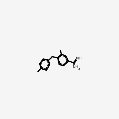 Cc1ccc(Cc2ccc(C(=N)N)cc2I)cc1